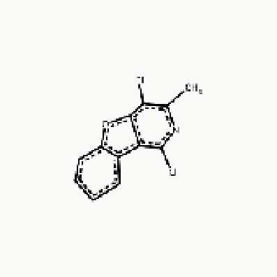 Cc1nc(Cl)c2c(oc3ccccc32)c1Cl